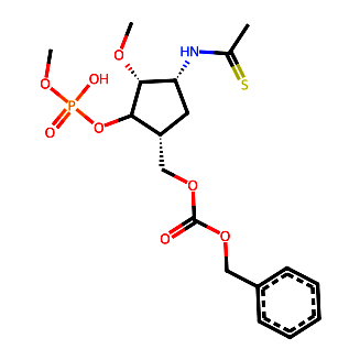 CO[C@H]1C(OP(=O)(O)OC)[C@@H](COC(=O)OCc2ccccc2)C[C@H]1NC(C)=S